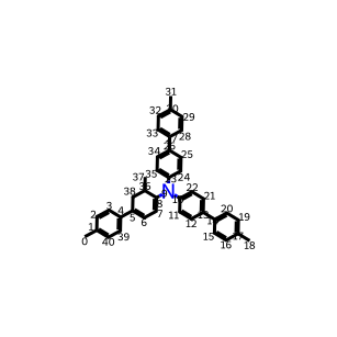 Cc1ccc(C2=CC=C(N(c3ccc(-c4ccc(C)cc4)cc3)c3ccc(-c4ccc(C)cc4)cc3)C(C)C2)cc1